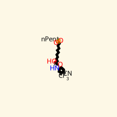 CCCCCS(=O)(=O)CCCCCCCCC[C@](C)(O)C(=O)Nc1ccc(C#N)c(C(F)(F)F)c1